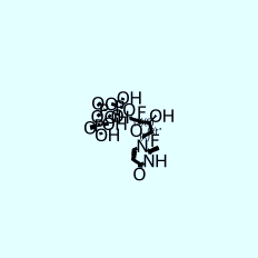 C=C1NC(=O)C=CN1[C@@H]1O[C@](F)(COP(=O)(O)OP(=O)(O)OP(=O)(O)O)[C@@H](O)[C@@]1(C)F